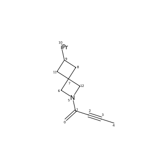 C=C(C#CC)N1CC2(CC(C(C)C)C2)C1